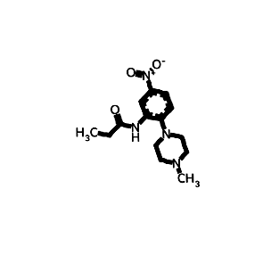 CCC(=O)Nc1cc([N+](=O)[O-])ccc1N1CCN(C)CC1